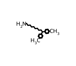 Cc1ccc(C(CCCCCCCCCN)c2ccc(C)cc2)cc1